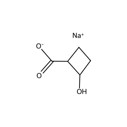 O=C([O-])C1CCC1O.[Na+]